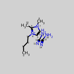 CCCC[n+]1ccn(C)c1C.N#CN.N#CN